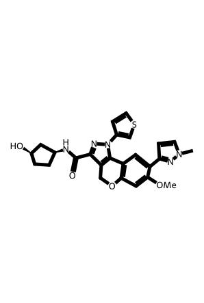 COc1cc2c(cc1-c1ccn(C)n1)-c1c(c(C(=O)N[C@H]3CC[C@@H](O)C3)nn1-c1ccsc1)CO2